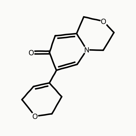 O=c1cc2n(cc1C1=CCOCC1)CCOC2